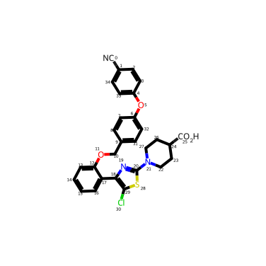 N#Cc1ccc(Oc2ccc(COc3ccccc3-c3nc(N4CCC(C(=O)O)CC4)sc3Cl)cc2)cc1